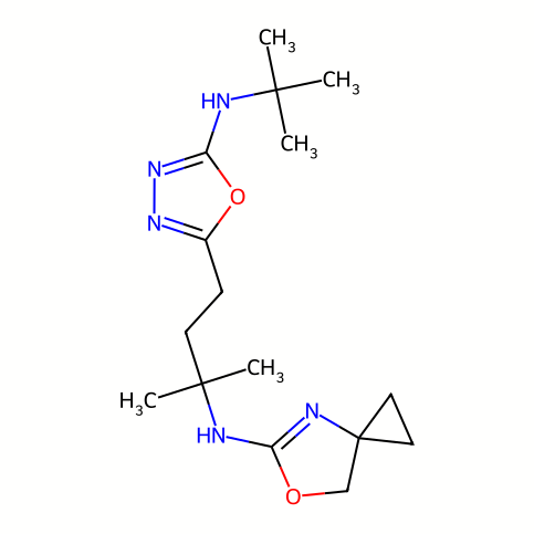 CC(C)(C)Nc1nnc(CCC(C)(C)NC2=NC3(CC3)CO2)o1